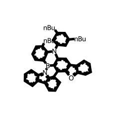 CCCCc1cc(CCCC)cc(N2c3cc4c(oc5ccccc54)c4c3B(c3cccc(CCCC)c32)n2c3ccccc3c3cccc-4c32)c1